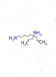 C=CCC(N)(CC=C)CCCCCN